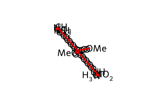 COCCOCCOCCOCCOc1c(OCCOCCOCCOCCOCCOCCOCCOCCOCCC(=O)NCCn2c([N+](=O)[O-])cnc2C)cc(C(=O)OC)cc1OCCOCCOCCOCCOCCOCCOCCOCCOCCC(=O)NCCn1c([N+](=O)[O-])cnc1C